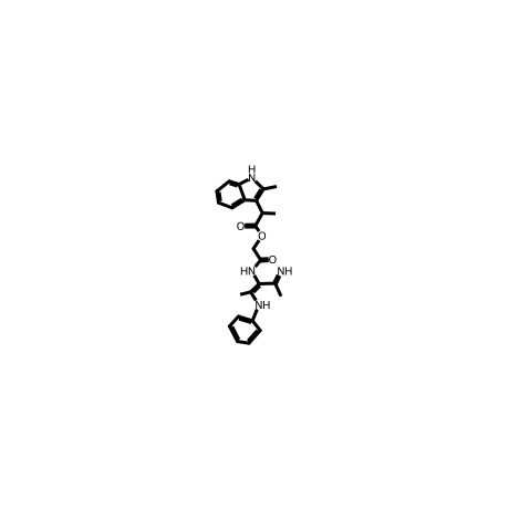 CC(=N)/C(NC(=O)COC(=O)C(C)c1c(C)[nH]c2ccccc12)=C(/C)Nc1ccccc1